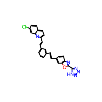 Clc1ccc2ccc(C=Cc3cccc(C=Cc4ccc5nc(-c6nnn[nH]6)oc5c4)c3)nc2c1